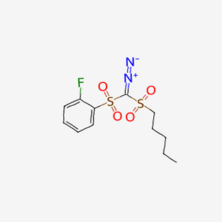 CCCCCS(=O)(=O)C(=[N+]=[N-])S(=O)(=O)c1ccccc1F